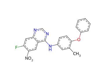 Cc1cc(Nc2ncnc3cc(F)c([N+](=O)[O-])cc23)ccc1Oc1ccccc1